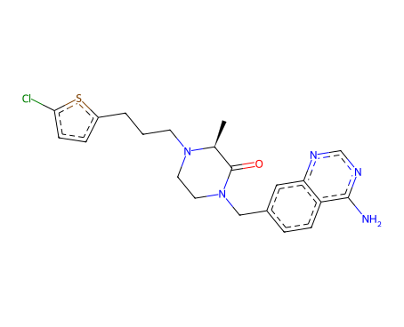 C[C@H]1C(=O)N(Cc2ccc3c(N)ncnc3c2)CCN1CCCc1ccc(Cl)s1